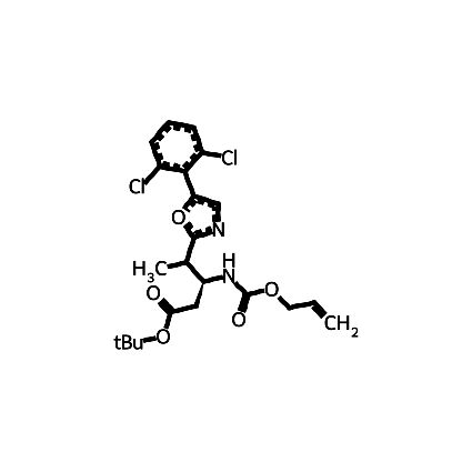 C=CCOC(=O)N[C@@H](CC(=O)OC(C)(C)C)C(C)c1ncc(-c2c(Cl)cccc2Cl)o1